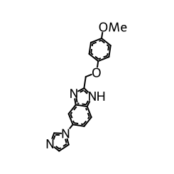 COc1ccc(OCc2nc3cc(-n4ccnc4)ccc3[nH]2)cc1